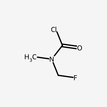 CN(CF)C(=O)Cl